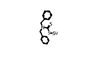 S=C(SS)N(Cc1ccccc1)Cc1ccccc1